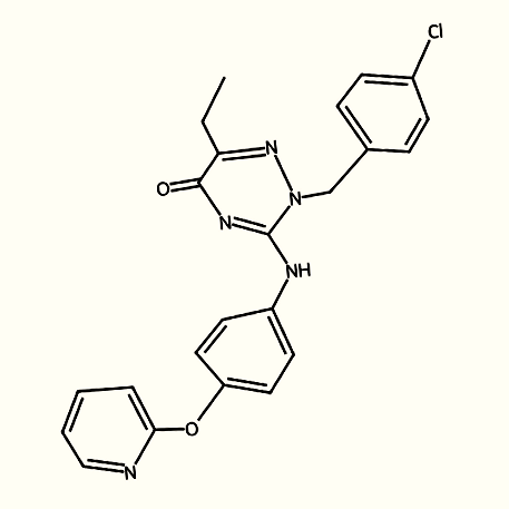 CCc1nn(Cc2ccc(Cl)cc2)c(Nc2ccc(Oc3ccccn3)cc2)nc1=O